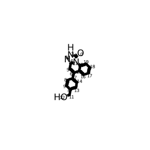 O=c1[nH]nc2cc(-c3ccc(CO)cc3)c3ccccc3n12